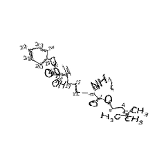 C[Si](C)(C)CCOC(=O)[C@@H](N)CCCCP(=O)(O)Oc1ccccc1